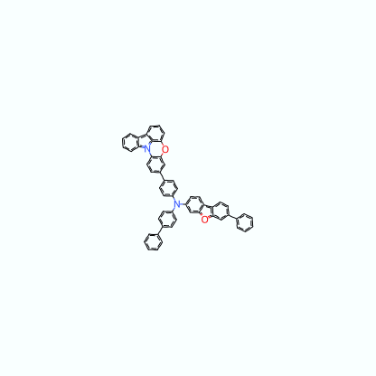 c1ccc(-c2ccc(N(c3ccc(-c4ccc5c(c4)Oc4cccc6c7ccccc7n-5c46)cc3)c3ccc4c(c3)oc3cc(-c5ccccc5)ccc34)cc2)cc1